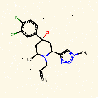 C=CCN1[C@@H](C)C[C@@](O)(c2ccc(F)c(Cl)c2)C[C@H]1c1cn(C)nn1